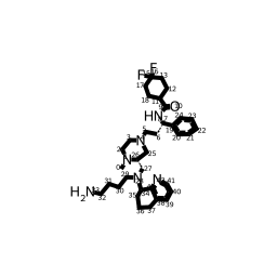 CN1CCN(CC[C@H](NC(=O)C2CCC(F)(F)CC2)c2ccccc2)C[C@@H]1CN(CCCCN)C1CCCc2cccnc21